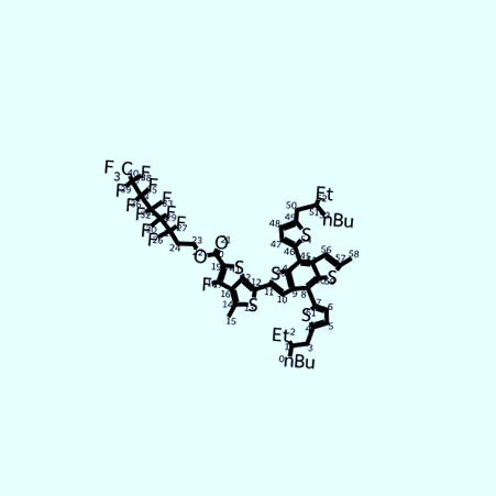 CCCCC(CC)Cc1ccc(-c2c3cc(-c4sc(C)c5c(F)c(C(=O)OCCC(F)(F)C(F)(F)C(F)(F)C(F)(F)C(F)(F)C(F)(F)F)sc45)sc3c(-c3ccc(CC(CC)CCCC)s3)c3cc(C)sc23)s1